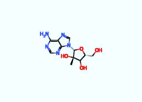 C[C@]1(O)C(O)[C@@H](CO)O[C@H]1n1cnc2c(N)ncnc21